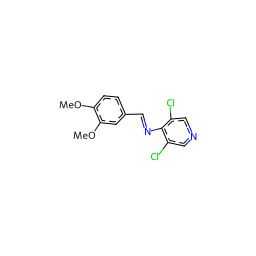 COc1ccc(/C=N/c2c(Cl)cncc2Cl)cc1OC